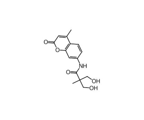 Cc1cc(=O)oc2cc(NC(=O)C(C)(CO)CO)ccc12